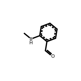 CBc1ccccc1C=O